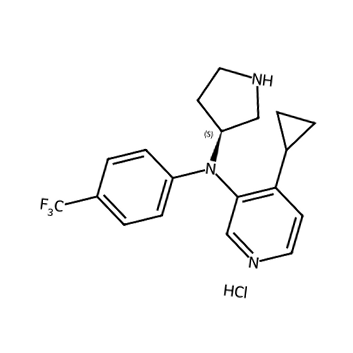 Cl.FC(F)(F)c1ccc(N(c2cnccc2C2CC2)[C@H]2CCNC2)cc1